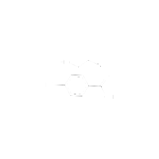 NCCO.O=C(O)c1ccc(O)cc1